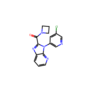 O=C(c1nc2cccnc2n1-c1cncc(Cl)c1)N1CCC1